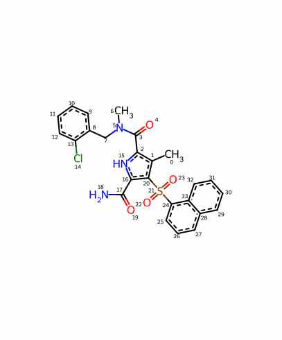 Cc1c(C(=O)N(C)Cc2ccccc2Cl)[nH]c(C(N)=O)c1S(=O)(=O)c1cccc2ccccc12